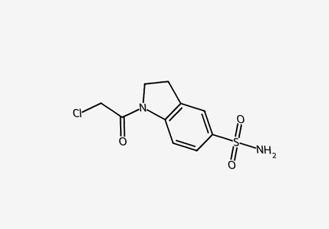 NS(=O)(=O)c1ccc2c(c1)CCN2C(=O)CCl